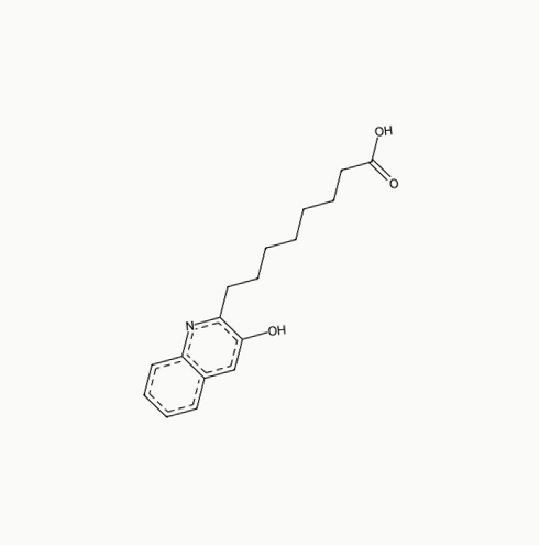 O=C(O)CCCCCCCc1nc2ccccc2cc1O